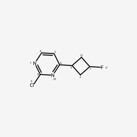 FC1CC(c2ccnc(Cl)n2)C1